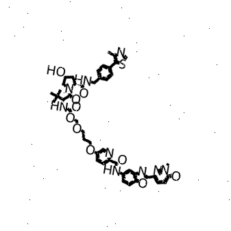 Cc1ncsc1-c1ccc(CNC(=O)[C@H]2C[C@H](O)CN2C(=O)[C@H](NC(=O)OCOCCCOc2ccc(C(=O)Nc3ccc4oc(-c5ccc(=O)n(C)n5)nc4c3)nc2)C(C)(C)C)cc1